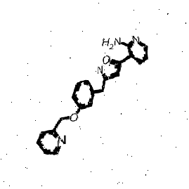 Nc1ncccc1-c1cc(Cc2cccc(OCc3ccccn3)c2)no1